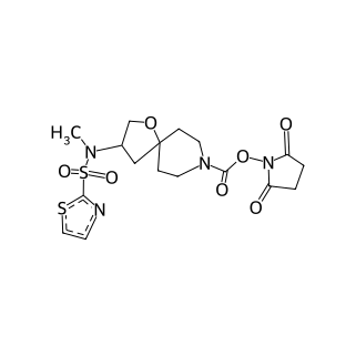 CN(C1COC2(CCN(C(=O)ON3C(=O)CCC3=O)CC2)C1)S(=O)(=O)c1nccs1